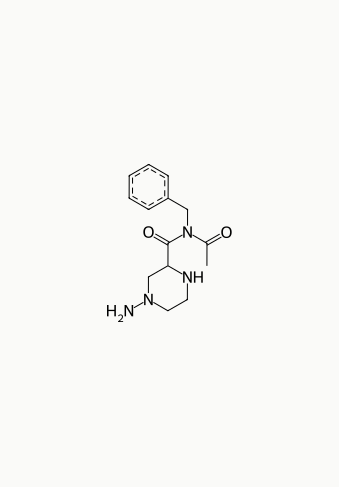 CC(=O)N(Cc1ccccc1)C(=O)C1CN(N)CCN1